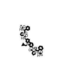 COC(=O)N[C@@H](C(=O)N1CCC[C@H]1C(=O)Nc1ccc2c3ccc(NC(=O)[C@@H]4CCCN4C(=O)[C@H](NC(=O)OC)c4ccccc4)cc3n(CC3CC3)c2c1)c1ccccc1